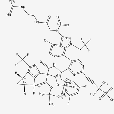 CC(C)(C)OC(=O)C(C(=O)NC(Cc1cc(F)cc(F)c1)c1nc(C#CC(C)(C)S(C)(=O)=O)ccc1-c1ccc(Cl)c2c(N(CC(=O)NCCNC(=N)N)[SH](=O)=O)nn(CC(F)(F)F)c12)(C(=O)OC(C)(C)C)n1nc(C(F)(F)F)c2c1C(F)(F)[C@@H]1C[C@H]21